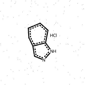 Cl.c1ccc2[nH]ncc2c1